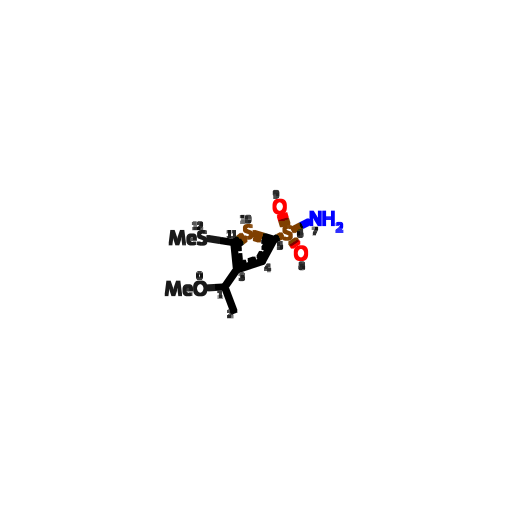 COC(C)c1cc(S(N)(=O)=O)sc1SC